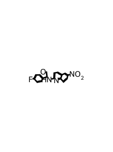 O=[N+]([O-])c1ccc2nc(NC3COc4cc(F)ccc43)ccc2c1